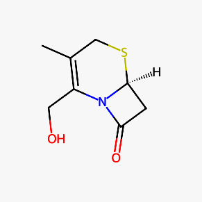 CC1=C(CO)N2C(=O)C[C@@H]2SC1